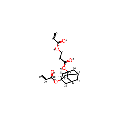 C=CC(=O)OCCC(=O)OC12CC3CC(CC(OC(=O)C=C)(C3)C1)C2